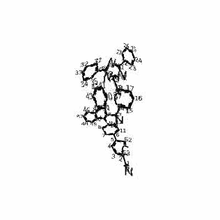 N#Cc1ccc(-c2ccc3c(c2)nc(-c2cccc(-c4nc(-c5ccccc5)nc(-c5ccccc5)n4)c2)c2c4ccccc4c4ccccc4c32)cc1